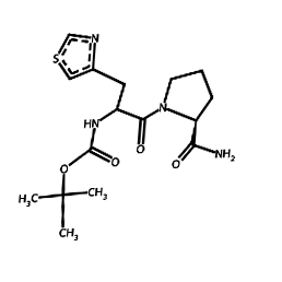 CC(C)(C)OC(=O)NC(Cc1cscn1)C(=O)N1CCC[C@H]1C(N)=O